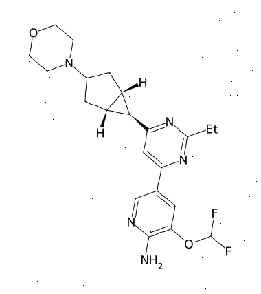 CCc1nc(-c2cnc(N)c(OC(F)F)c2)cc([C@H]2[C@@H]3CC(N4CCOCC4)C[C@@H]32)n1